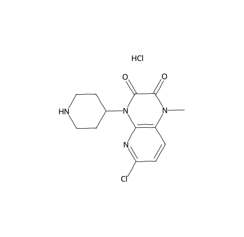 Cl.Cn1c(=O)c(=O)n(C2CCNCC2)c2nc(Cl)ccc21